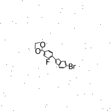 Fc1cc(C2OCCCO2)ccc1C1=Cc2ccc(Br)cc2C1